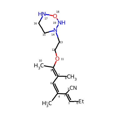 CC/C=C(C#N)/C(C)=C\C(C)=C(/C)OCCN1CCNON1